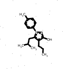 CCCc1c(O)nn(-c2ccc(C)cc2)c1CC(C)C